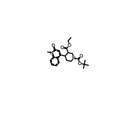 CCOC(=O)C1CN(C(=O)OC(C)(C)C)CCC1c1cc(=O)n(C)c2ccccc12